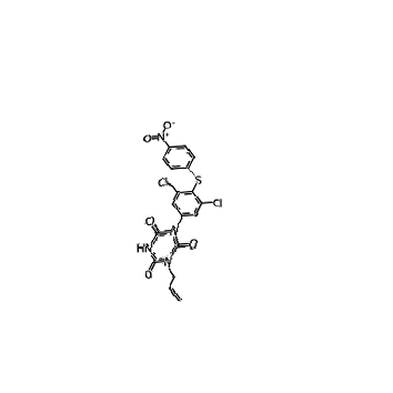 C=CCn1c(=O)[nH]c(=O)n(-c2cc(Cl)c(Sc3ccc([N+](=O)[O-])cc3)c(Cl)c2)c1=O